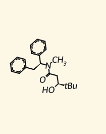 CN(C(=O)C[C@H](O)C(C)(C)C)[C@@H](Cc1ccccc1)c1ccccc1